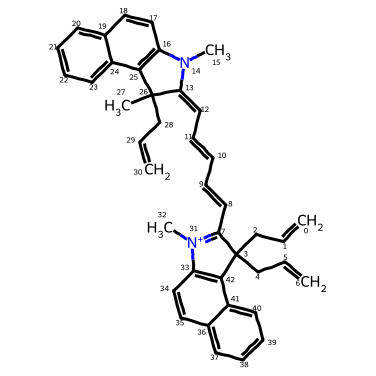 C=CCC1(CC=C)C(/C=C/C=C/C=C2/N(C)c3ccc4ccccc4c3C2(C)CC=C)=[N+](C)c2ccc3ccccc3c21